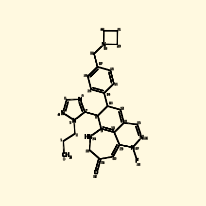 CCCn1ncnc1C1C2=C3C(=CC1c1ccc(CN4CCC4)cc1)C=NN(F)C3=CC(=O)CN2